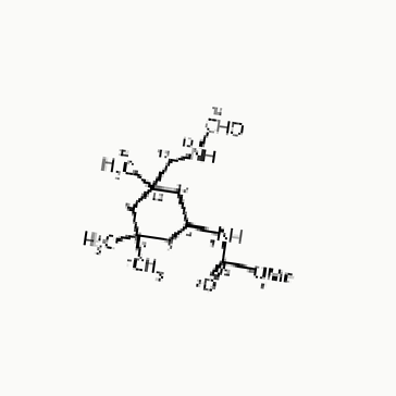 COC(=O)NC1CC(C)(C)CC(C)(CNC=O)C1